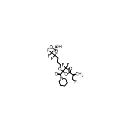 C=C(CF)C(=O)OC(OCCCC(F)(F)C(F)(F)S(=O)(=O)O)(C(=O)N1CCCCC1)C(F)(F)F